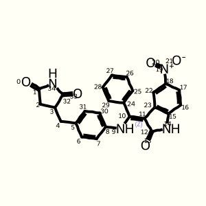 O=C1CC(Cc2ccc(N/C(=C3\C(=O)Nc4ccc([N+](=O)[O-])cc43)c3ccccc3)cc2)C(=O)N1